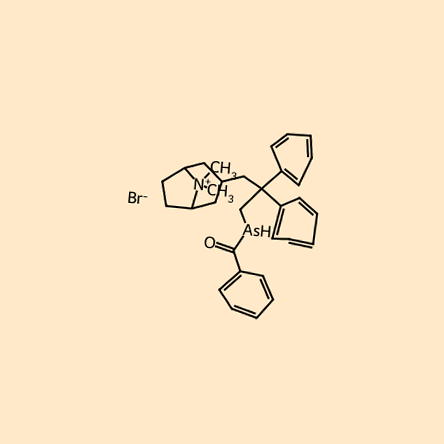 C[N+]1(C)C2CCC1CC(CC(C[AsH]C(=O)c1ccccc1)(c1ccccc1)c1ccccc1)C2.[Br-]